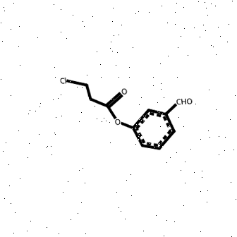 O=Cc1cccc(OC(=O)CCCl)c1